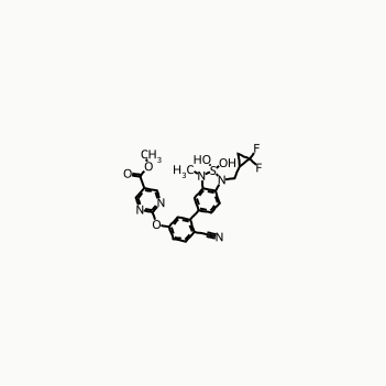 COC(=O)c1cnc(Oc2ccc(C#N)c(-c3ccc4c(c3)N(C)S(O)(O)N4CC3CC3(F)F)c2)nc1